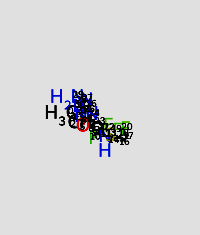 CC(C)n1c(=O)c(-c2cc(F)c(NSCC3CCC3(F)F)c(F)c2)nc2cnc(N)nc21